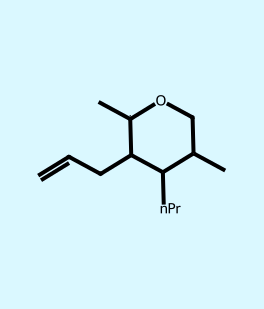 C=CCC1[C](C)OCC(C)C1CCC